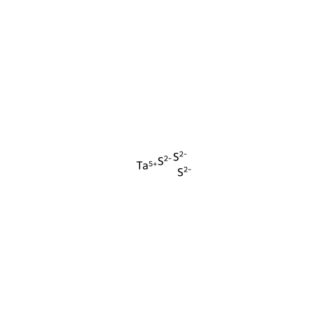 [S-2].[S-2].[S-2].[Ta+5]